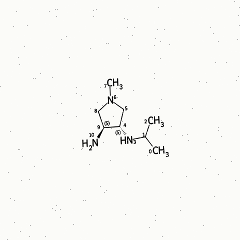 CC(C)N[C@H]1CN(C)C[C@@H]1N